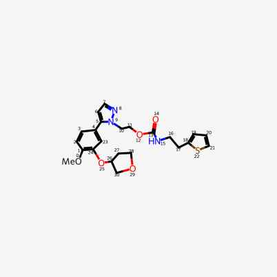 COc1ccc(-c2ccnn2CCOC(=O)NCCc2cccs2)cc1OC1CCOC1